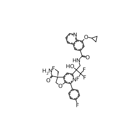 NC(=O)[C@@]1(CF)COc2c1cc(C(O)(CNC(=O)c1cc(OC3CC3)c3ncccc3c1)C(F)(F)F)nc2-c1ccc(F)cc1